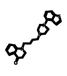 O=C1CCN(CCCCN2CCN(c3cccc4sccc34)CC2)c2ccccc21